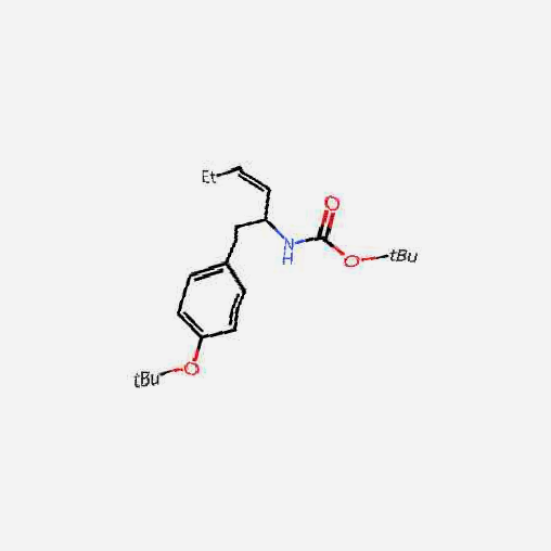 CC/C=C\C(Cc1ccc(OC(C)(C)C)cc1)NC(=O)OC(C)(C)C